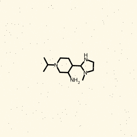 CC(C)N1CCC(C2NCCN2C)C(N)C1